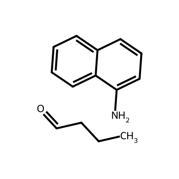 CCCC=O.Nc1cccc2ccccc12